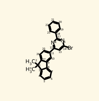 CC1(C)c2ccccc2-c2cc(-c3cc(Br)nc(-c4ccccc4)n3)ccc21